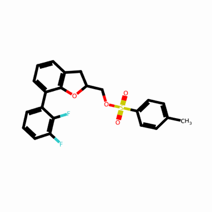 Cc1ccc(S(=O)(=O)OCC2Cc3cccc(-c4cccc(F)c4F)c3O2)cc1